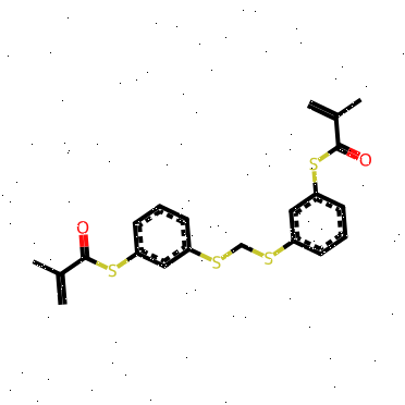 C=C(C)C(=O)Sc1cccc(SCSc2cccc(SC(=O)C(=C)C)c2)c1